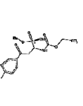 CCC(C)O[P@@](=O)(O)C(CC(=O)c1ccc(C)cc1)NC(=O)OCC(Cl)(Cl)Cl